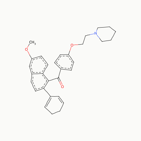 COc1ccc2c(C(=O)c3ccc(OCCN4CCCCC4)cc3)c(C3=CCCC=C3)ccc2c1